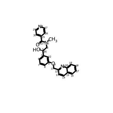 CN(C[C@H](O)c1cccc(OCc2ccc3ccccc3n2)c1)C(=O)c1ccncc1